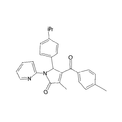 CC1=C(C(=O)c2ccc(C)cc2)C(c2ccc(C(C)C)cc2)N(c2ccccn2)C1=O